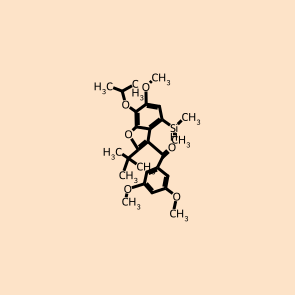 COc1cc(OC)cc(C(=O)c2c(C(C)(C)C)oc3c(OC(C)C)c(OC)cc([SiH](C)C)c23)c1